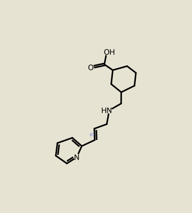 O=C(O)C1CCCC(CNC/C=C/c2ccccn2)C1